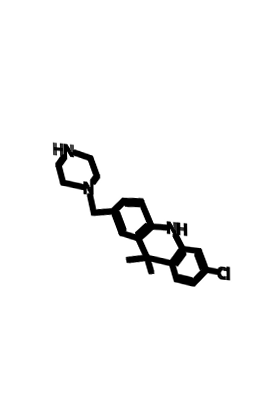 CC1(C)c2ccc(Cl)cc2Nc2ccc(CN3CCNCC3)cc21